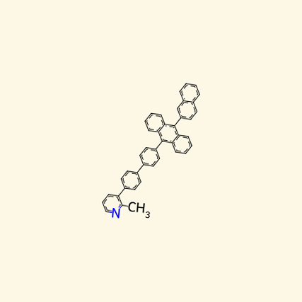 Cc1ncccc1-c1ccc(-c2ccc(-c3c4ccccc4c(-c4ccc5ccccc5c4)c4ccccc34)cc2)cc1